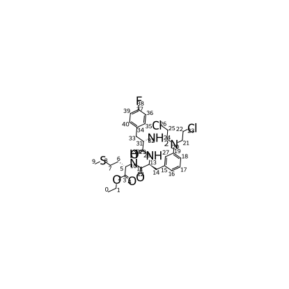 CCOC(=O)[C@H](CCSC)NC(=O)[C@H](Cc1cccc(N(CCCl)CCCl)c1)NC(=O)[C@@H](N)Cc1ccc(F)cc1